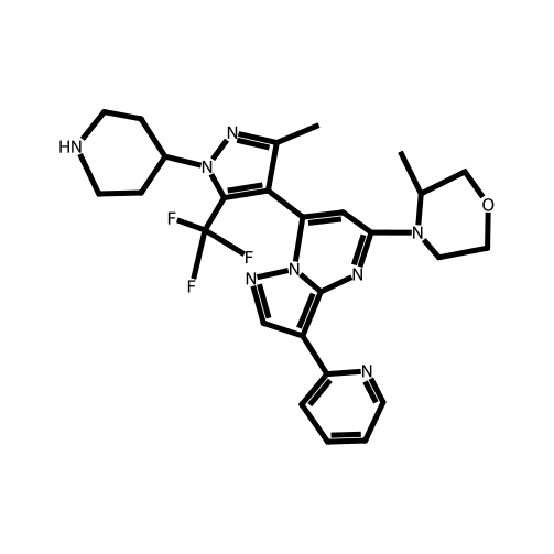 Cc1nn(C2CCNCC2)c(C(F)(F)F)c1-c1cc(N2CCOCC2C)nc2c(-c3ccccn3)cnn12